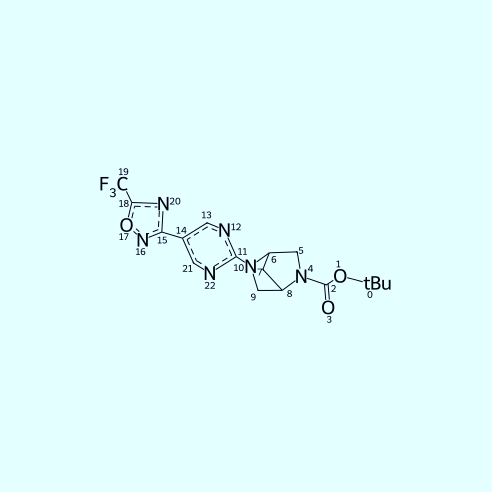 CC(C)(C)OC(=O)N1CC2CC1CN2c1ncc(-c2noc(C(F)(F)F)n2)cn1